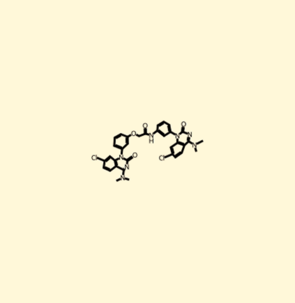 CN(C)c1nc(=O)n(-c2cccc(NC(=O)COc3cccc(-n4c(=O)nc(N(C)C)c5ccc(Cl)cc54)c3)c2)c2cc(Cl)ccc12